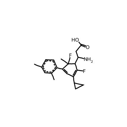 Cc1ccc(C2=CC(C3CC3)=C(F)C(C(N)CC(=O)O)C2(C)F)c(C)c1